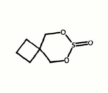 O=S1OCC2(CCC2)CO1